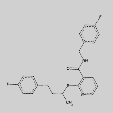 CC(CCc1ccc(F)cc1)Sc1ncccc1C(=O)NCc1ccc(F)cc1